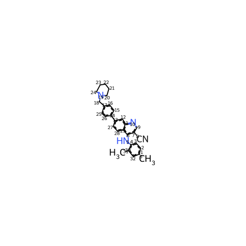 Cc1ccc(Nc2c(C#N)cnc3cc(-c4ccc(CN5CCCCC5)cc4)ccc23)c(C)c1